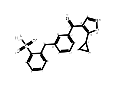 CS(=O)(=O)c1ccccc1Cc1cccc(C(=O)c2cnoc2C2CC2)c1